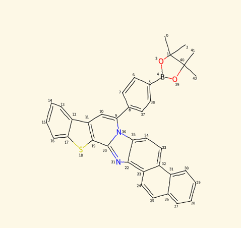 CC1(C)OB(c2ccc(-c3cc4c5ccccc5sc4c4nc5c6ccc7ccccc7c6ccc5n34)cc2)OC1(C)C